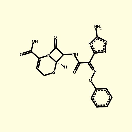 Nc1nc(/C(=N/Oc2ccccc2)C(=O)NC2C(=O)N3C(C(=O)O)=CCS[C@H]23)ns1